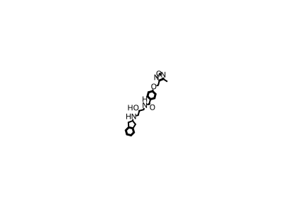 Cc1nonc1COc1ccc(C(=O)NC[C@H](O)CNC2Cc3ccccc3C2)cc1